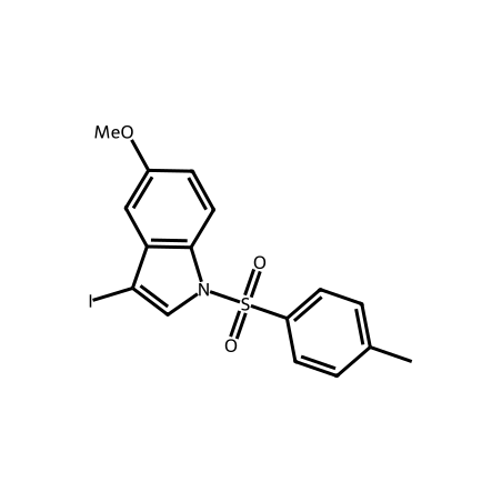 COc1ccc2c(c1)c(I)cn2S(=O)(=O)c1ccc(C)cc1